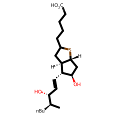 CCCC[C@H](C)[C@H](O)/C=C/[C@@H]1[C@H]2CC(CCCCC(=O)O)S[C@@H]2C[C@H]1O